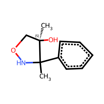 CC1(c2ccccc2)NOC[C@@]1(C)O